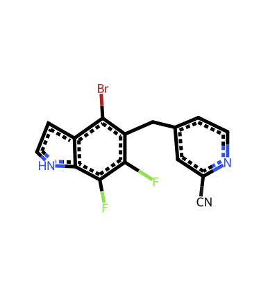 N#Cc1cc(Cc2c(F)c(F)c3[nH]ccc3c2Br)ccn1